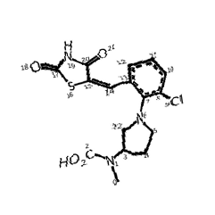 CN(C(=O)O)C1CCN(c2c(Cl)cccc2C=C2SC(=O)NC2=O)C1